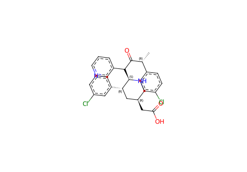 C[C@@H](C(=O)C(c1cccnc1)[C@H]1NC[C@@H](CC(=O)O)C[C@@H]1c1cccc(Cl)c1)c1ccc(Cl)cc1